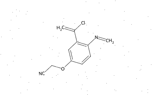 C=Nc1ccc(OCC#N)cc1C(=C)Cl